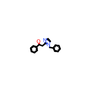 O=C(Cc1nccn1Cc1ccccc1)c1ccccc1